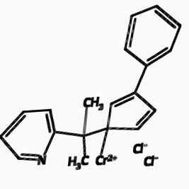 CC(C)(c1ccccn1)[C]1([Cr+2])C=CC(c2ccccc2)=C1.[Cl-].[Cl-]